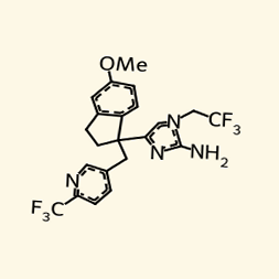 COc1ccc2c(c1)CCC2(Cc1ccc(C(F)(F)F)nc1)c1cn(CC(F)(F)F)c(N)n1